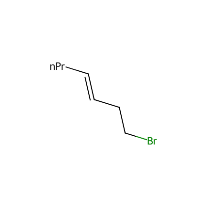 CCCC=CCCBr